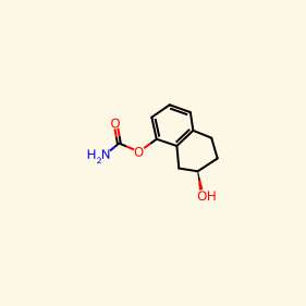 NC(=O)Oc1cccc2c1C[C@H](O)CC2